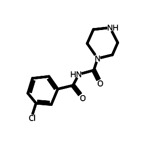 O=C(NC(=O)N1CCNCC1)c1cccc(Cl)c1